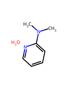 CN(C)c1ccccn1.O